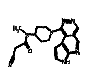 CN(C(=O)CC#N)C1CCN(c2nncc3cnc4[nH]ccc4c23)CC1